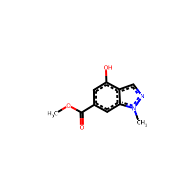 COC(=O)c1cc(O)c2cnn(C)c2c1